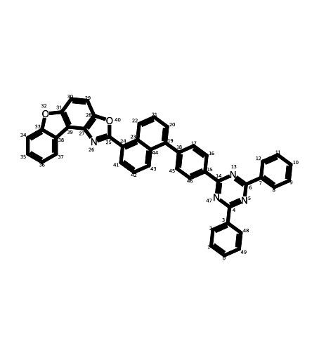 c1ccc(-c2nc(-c3ccccc3)nc(-c3ccc(-c4cccc5c(-c6nc7c(ccc8oc9ccccc9c87)o6)cccc45)cc3)n2)cc1